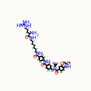 N=C(N)NCCCC(N)C(=O)NCCCCCCCNC(=O)c1ccc(NC(=O)c2ccc(CN(C(=O)c3ccc4c(c3)OCC(=O)N4)C3CC3)cc2)cc1